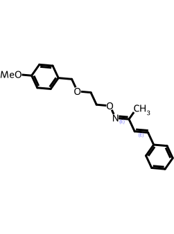 COc1ccc(COCCO/N=C(C)/C=C/c2ccccc2)cc1